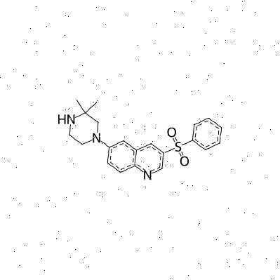 CC1(C)CN(c2ccc3ncc(S(=O)(=O)c4ccccc4)cc3c2)CCN1